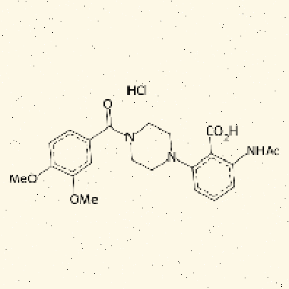 COc1ccc(C(=O)N2CCN(c3cccc(NC(C)=O)c3C(=O)O)CC2)cc1OC.Cl